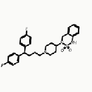 O=S1(=O)Nc2ccccc2CN1C1CCN(CCCC(c2ccc(F)cc2)c2ccc(F)cc2)CC1